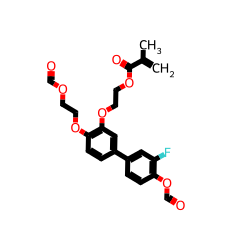 C=C(C)C(=O)OCCOc1cc(-c2ccc(OC=O)c(F)c2)ccc1OCCOC=O